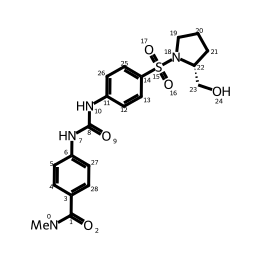 CNC(=O)c1ccc(NC(=O)Nc2ccc(S(=O)(=O)N3CCC[C@@H]3CO)cc2)cc1